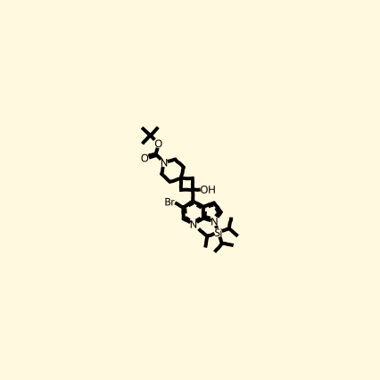 CC(C)[Si](C(C)C)(C(C)C)n1ccc2c(C3(O)CC4(CCN(C(=O)OC(C)(C)C)CC4)C3)c(Br)cnc21